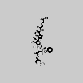 CCC(CC)COC(=O)[C@H](C)N[P@](=O)(OC[C@H]1O[C@@](C#N)(c2ccc3c(NC(=O)CSCC(=O)O)ncnn23)[C@H](O)[C@@H]1O)Oc1ccccc1